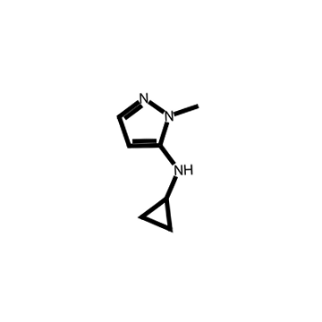 Cn1nccc1NC1CC1